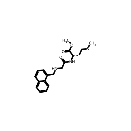 COC(=O)[C@H](CCSC)NC(=O)CNCc1cccc2ccccc12